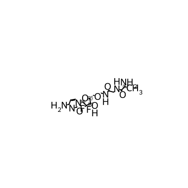 C[C@H](N)C(=O)NCC(=O)NCOC[C@H]1O[C@@H](n2ccc(N)nc2=O)C(F)(F)[C@@H]1O